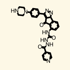 O=C(NNC(=O)c1ccncc1)Nc1cccc2c1C(=O)C1=C(c3ccc(N4CCNCC4)cc3)N=NC12